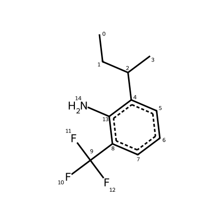 CCC(C)c1cccc(C(F)(F)F)c1N